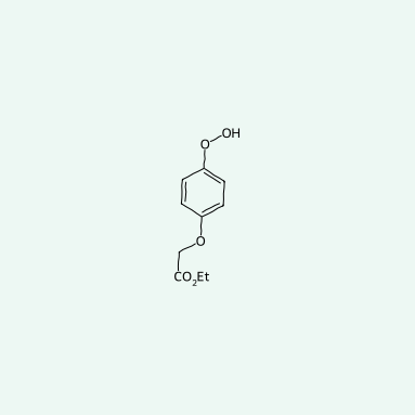 CCOC(=O)COc1ccc(OO)cc1